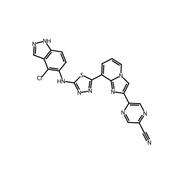 N#Cc1cnc(-c2cn3cccc(-c4nnc(Nc5ccc6[nH]ncc6c5Cl)s4)c3n2)cn1